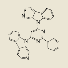 c1ccc(-c2nc(-n3c4ccccc4c4ccncc43)cc(-n3c4ccccc4c4ccncc43)n2)cc1